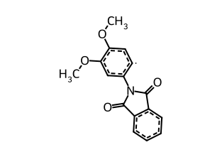 COc1c[c]c(N2C(=O)c3ccccc3C2=O)cc1OC